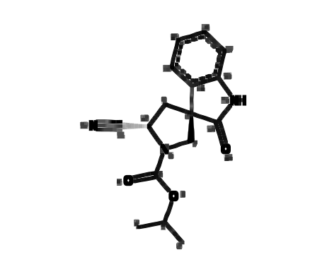 CC(C)OC(=O)N1C[C@]2(C[C@H]1C#N)C(=O)Nc1ccccc12